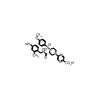 CCCc1ccc(CNC(=O)[C@H]2CN(c3cnc(C(=O)O)cn3)CCN2S(=O)(=O)c2ccc(OC(F)(F)F)cc2)c(C)c1